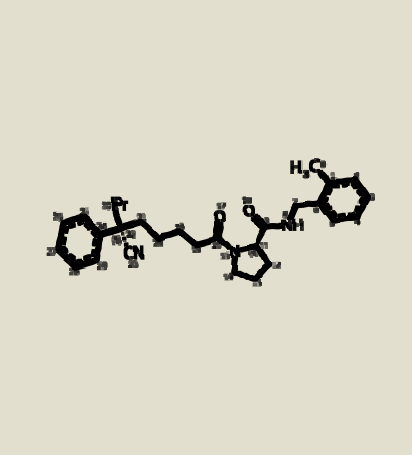 Cc1ccccc1CNC(=O)[C@H]1CCCN1C(=O)CCCC[C@@](C#N)(c1ccccc1)C(C)C